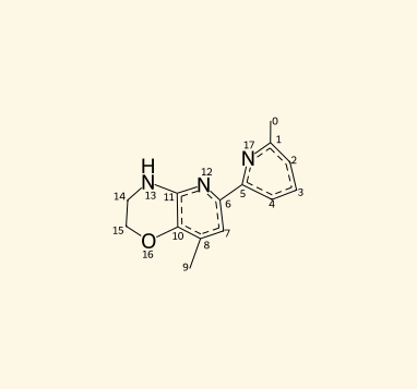 Cc1cccc(-c2cc(C)c3c(n2)NCCO3)n1